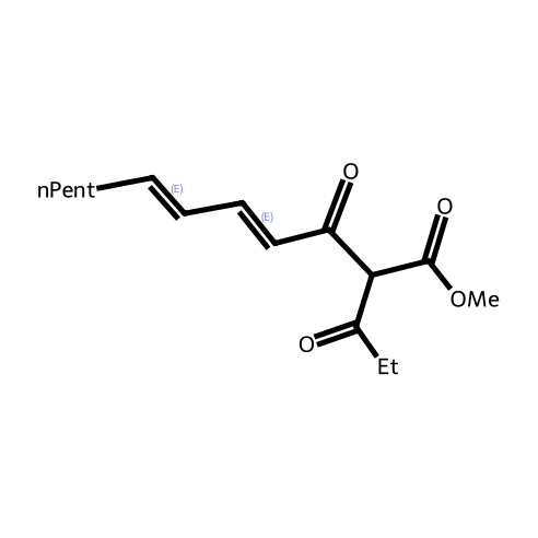 CCCCC/C=C/C=C/C(=O)C(C(=O)CC)C(=O)OC